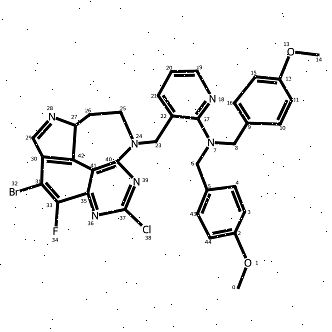 COc1ccc(CN(Cc2ccc(OC)cc2)c2ncccc2CN2CCC3N=Cc4c(Br)c(F)c5nc(Cl)nc2c5c43)cc1